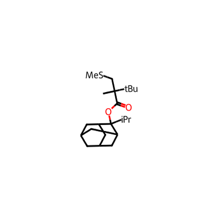 CSCC(C)(C(=O)OC1(C(C)C)C2CC3CC(C2)CC1C3)C(C)(C)C